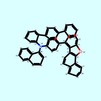 c1ccc(-c2ccc(-c3ccccc3N(c3ccc(-c4cccc5oc6c7ccccc7ccc6c45)cc3)c3cccc4ccccc34)cc2)cc1